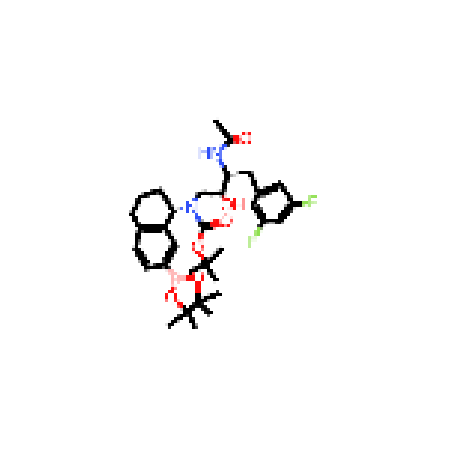 CC(=O)N[C@@H](Cc1cc(F)cc(F)c1)[C@H](O)CN(C(=O)OC(C)(C)C)[C@H]1CCCc2ccc(B3OC(C)(C)C(C)(C)O3)cc21